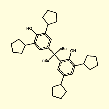 CCCCC(CCCC)(c1cc(C2CCCC2)c(O)c(C2CCCC2)c1)c1cc(C2CCCC2)cc(C2CCCC2)c1O